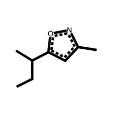 CCC(C)c1cc(C)no1